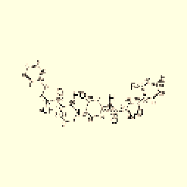 CN(CCc1ccccc1)C(=O)C1CCCN([C@H]2CC[C@H](NC(=O)c3cc(-c4ccc(F)cc4F)on3)C[C@@H]2O)C1